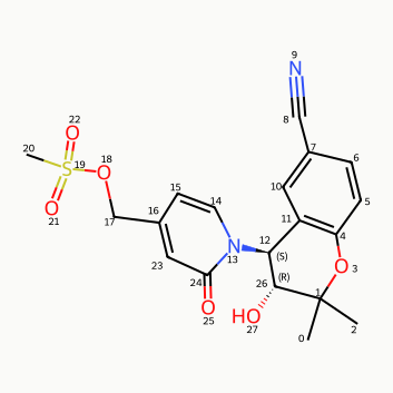 CC1(C)Oc2ccc(C#N)cc2[C@H](n2ccc(COS(C)(=O)=O)cc2=O)[C@H]1O